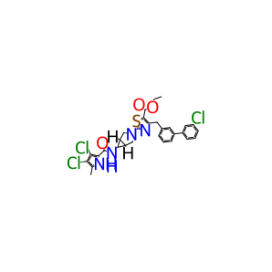 CCOC(=O)c1sc(N2C[C@@H]3C(NC(=O)c4[nH]c(C)c(Cl)c4Cl)[C@@H]3C2)nc1Cc1cccc(-c2cccc(Cl)c2)c1